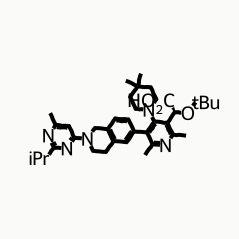 Cc1cc(N2CCc3cc(-c4c(C)nc(C)c([C@H](OC(C)(C)C)C(=O)O)c4N4CCC(C)(C)CC4)ccc3C2)nc(C(C)C)n1